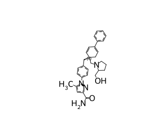 Cc1cc(C(N)=O)nn1-c1ccc(C[C@@]2(CN3CCCC3CO)C=CC(c3ccccc3)=CC2)cc1